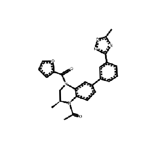 CC(=O)N1c2ccc(-c3cccc(-c4noc(C)n4)c3)cc2N(C(=O)c2ccco2)C[C@@H]1C